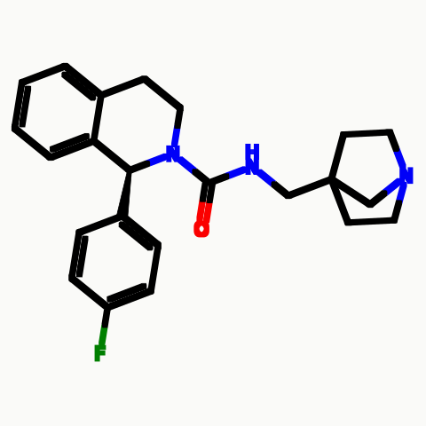 O=C(NCC12CCN(CC1)C2)N1CCc2ccccc2[C@@H]1c1ccc(F)cc1